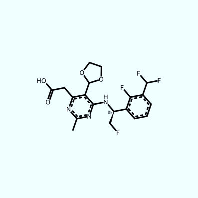 Cc1nc(CC(=O)O)c(C2OCCO2)c(N[C@H](CF)c2cccc(C(F)F)c2F)n1